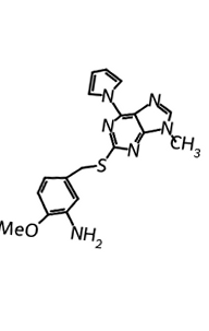 COc1ccc(CSc2nc(-n3cccc3)c3ncn(C)c3n2)cc1N